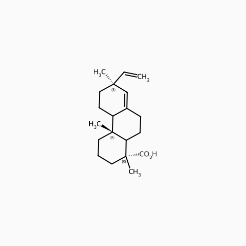 C=C[C@@]1(C)C=C2CCC3[C@](C)(CCC[C@@]3(C)C(=O)O)C2CC1